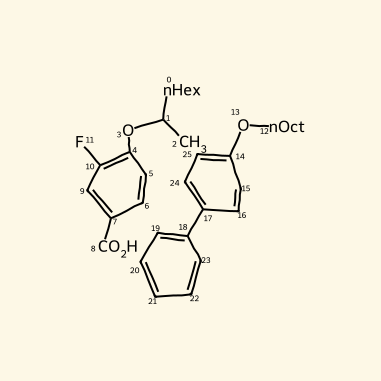 CCCCCCC(C)Oc1ccc(C(=O)O)cc1F.CCCCCCCCOc1ccc(-c2ccccc2)cc1